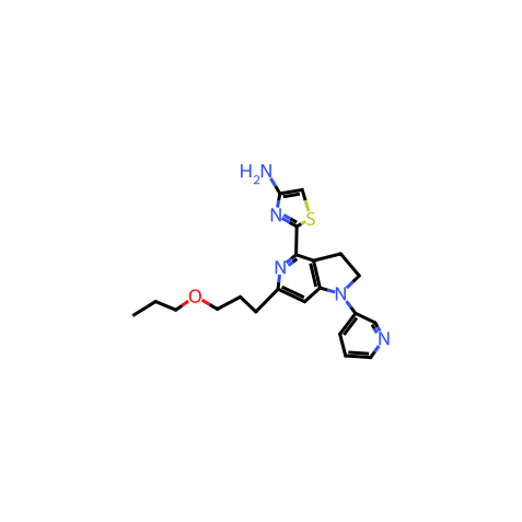 CCCOCCCc1cc2c(c(-c3nc(N)cs3)n1)CCN2c1cccnc1